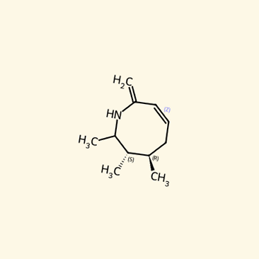 C=C1/C=C\C[C@@H](C)[C@H](C)C(C)N1